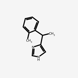 Cc1ccccc1C(C)c1c[nH]cn1